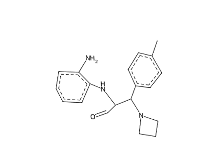 Cc1ccc(C(C(C=O)Nc2ccccc2N)N2CCC2)cc1